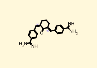 N=C(N)c1ccc(/C=C2/CCC/C(=C\c3ccc(C(=N)N)cc3)C2=O)cc1